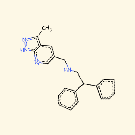 Cc1n[nH]c2ncc(CNCC(c3ccccc3)c3ccccc3)cc12